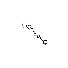 BN1CCN(CCCOC2CC(OCc3ccccc3)C2)CC1